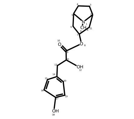 CN1C2CCC1CC(OC(=O)C(O)Cc1ccc(O)cc1)C2